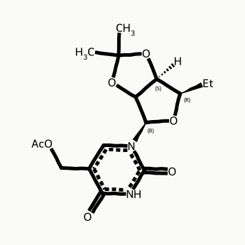 CC[C@H]1O[C@@H](n2cc(COC(C)=O)c(=O)[nH]c2=O)C2OC(C)(C)O[C@H]21